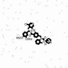 COc1ccc([C@H](Cc2c(Cl)cncc2Cl)OC(=O)c2ccc(CN(C(=O)O[C@H]3CN4CCC3CC4)c3ccccc3F)cc2F)cc1OC